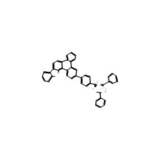 c1ccc(-c2nc(-c3ccccc3)nc(-c3ccc(-c4ccc5c(c4)c4ccccc4c4ccc6c7ccccc7oc6c45)cc3)n2)cc1